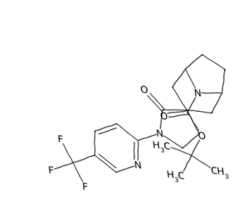 CC(C)(C)OC(=O)N1C2CCC1CC1(CCN(c3ccc(C(F)(F)F)cn3)C1=O)C2